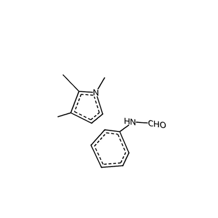 Cc1ccn(C)c1C.O=CNc1ccccc1